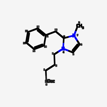 CCCCCCCCCCCCCN1C=CN(C)C1Cc1ccccc1